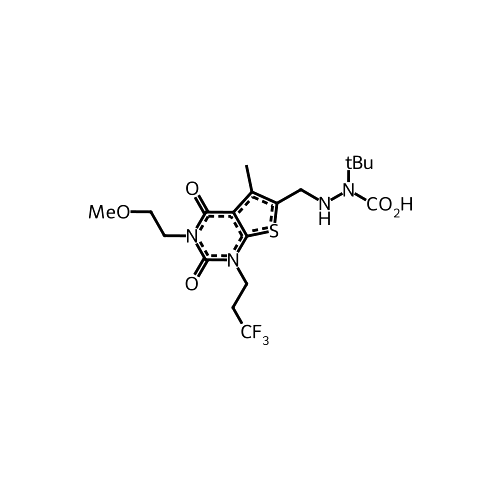 COCCn1c(=O)c2c(C)c(CNN(C(=O)O)C(C)(C)C)sc2n(CCC(F)(F)F)c1=O